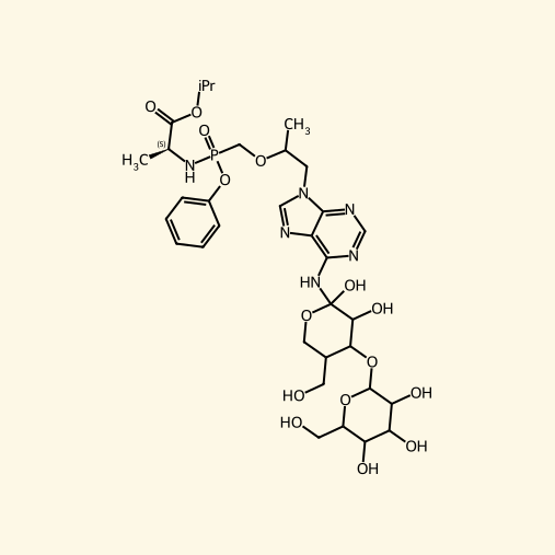 CC(C)OC(=O)[C@H](C)NP(=O)(COC(C)Cn1cnc2c(NC3(O)OCC(CO)C(OC4OC(CO)C(O)C(O)C4O)C3O)ncnc21)Oc1ccccc1